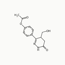 CC(=O)Oc1ccc(C2=NNC(=O)CC2CO)cc1